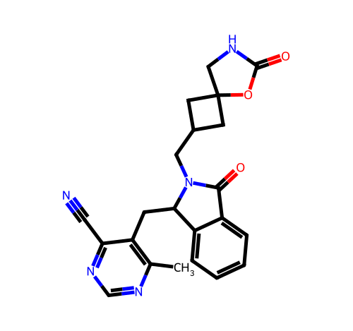 Cc1ncnc(C#N)c1CC1c2ccccc2C(=O)N1CC1CC2(CNC(=O)O2)C1